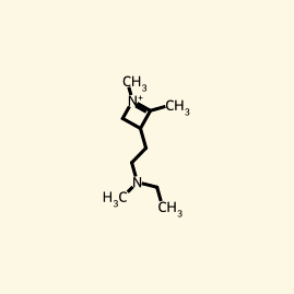 CCN(C)CCC1C[N+](C)=C1C